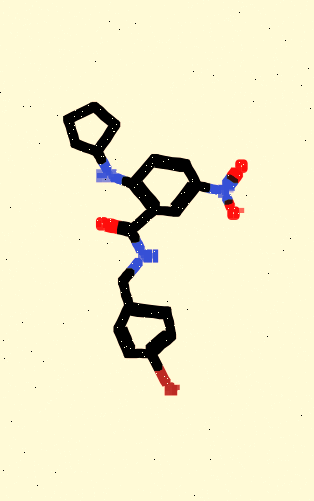 O=C(NCc1ccc(Br)cc1)c1cc([N+](=O)[O-])ccc1NC1CCCC1